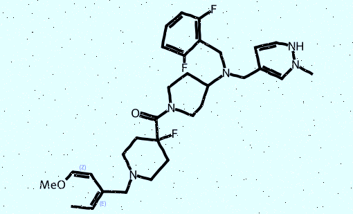 C/C=C(\C=C/OC)CN1CCC(F)(C(=O)N2CCC(N(CC3=CN(C)NC=C3)Cc3c(F)cccc3F)CC2)CC1